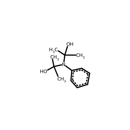 CC(C)(O)N(c1ccccc1)C(C)(C)O